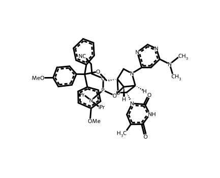 COc1ccc(C(OC[C@@]23CN(c4cc(N(C)C)ncn4)[C@@H]([C@H](n4cc(C)c(=O)[nH]c4=O)O2)[C@@H]3OP(OCCC#N)N(C(C)C)C(C)C)(c2ccccc2)c2ccc(OC)cc2)cc1